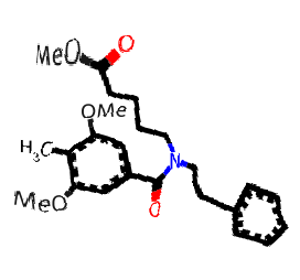 COC(=O)CCCCN(CCc1ccccc1)C(=O)c1cc(OC)c(C)c(OC)c1